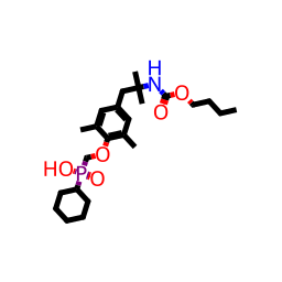 CCCCOC(=O)NC(C)(C)Cc1cc(C)c(OCP(=O)(O)C2CCCCC2)c(C)c1